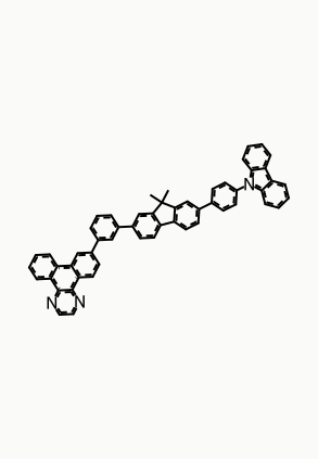 CC1(C)c2cc(-c3ccc(-n4c5ccccc5c5ccccc54)cc3)ccc2-c2ccc(-c3cccc(-c4ccc5c(c4)c4ccccc4c4nccnc54)c3)cc21